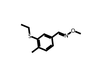 CCSc1cc(/C=N/OC)ccc1C